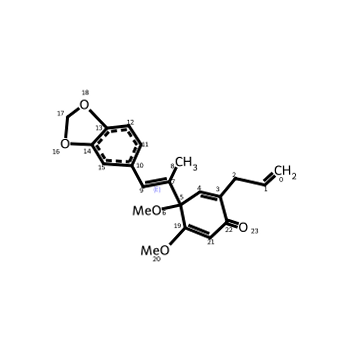 C=CCC1=CC(OC)(/C(C)=C/c2ccc3c(c2)OCO3)C(OC)=CC1=O